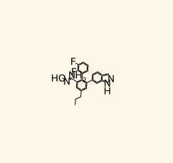 CCCc1cc(C(N)=NO)c(-c2cccc(F)c2F)c(-c2ccc3cn[nH]c3c2)c1